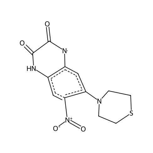 O=C1[N]c2cc(N3CCSCC3)c([N+](=O)[O-])cc2NC1=O